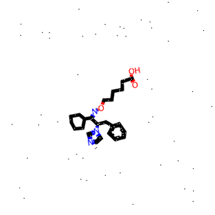 O=C(O)CCCCCON=C(C1CCCCC1)C(Cc1ccccc1)n1ccnc1